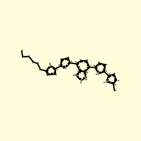 CCCCCCc1ccc(-c2ccc(-c3ccc(-c4ccc(-c5ccc(C)s5)s4)c4nsnc34)s2)s1